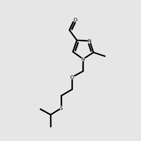 Cc1nc(C=O)cn1COCCSC(C)C